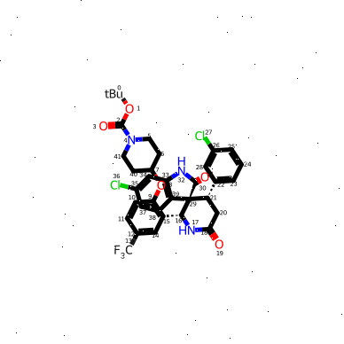 CC(C)(C)OC(=O)N1CCC(Oc2ccc(C(F)(F)F)cc2[C@H]2NC(=O)C[C@@H](c3cccc(Cl)c3)[C@]23C(=O)Nc2cc(Cl)ccc23)CC1